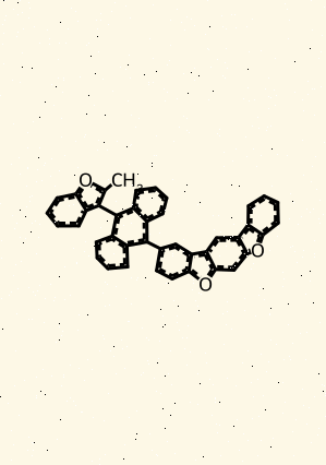 Cc1oc2ccccc2c1-c1c2ccccc2c(-c2ccc3oc4cc5oc6ccccc6c5cc4c3c2)c2ccccc12